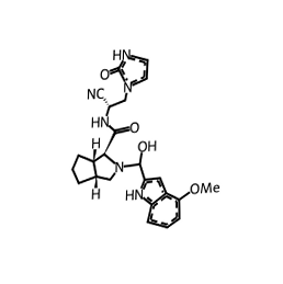 COc1cccc2[nH]c(C(O)N3C[C@@H]4CCC[C@@H]4[C@H]3C(=O)N[C@H](C#N)Cn3cc[nH]c3=O)cc12